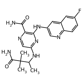 CC(Nc1cnc(C(N)=O)c(Nc2cnc3ccc(F)cc3c2)n1)C(C)(C)C(N)=O